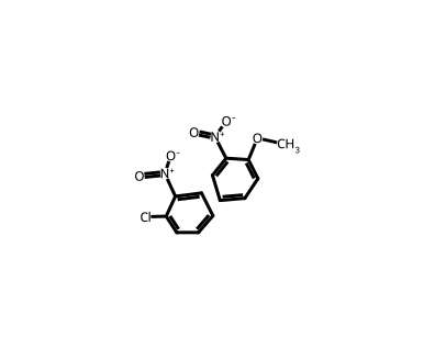 COc1ccccc1[N+](=O)[O-].O=[N+]([O-])c1ccccc1Cl